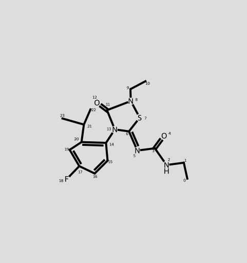 CCNC(=O)N=c1sn(CC)c(=O)n1-c1ccc(F)cc1C(C)C